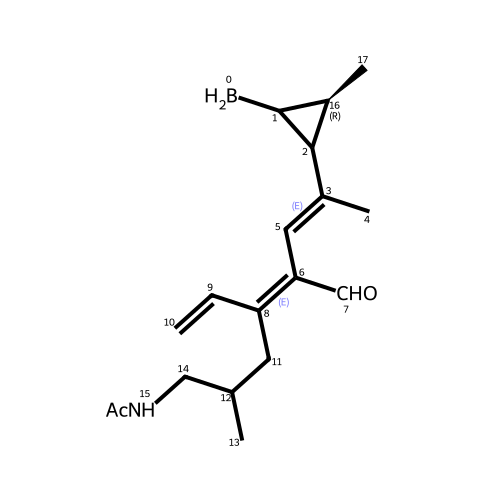 BC1C(/C(C)=C/C(C=O)=C(\C=C)CC(C)CNC(C)=O)[C@@H]1C